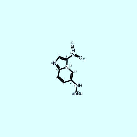 CCCCNc1ccc2ncc([SH](=O)=O)n2c1